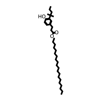 CCCCCCCCCCCCCCCCCCCCOC(=O)CCc1ccc(O)c(C(C)(C)CCC)c1